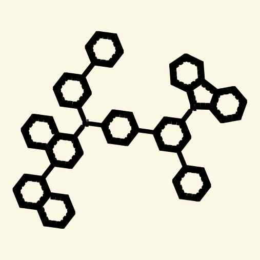 c1ccc(-c2cccc(N(c3ccc(-c4cc(-c5ccccc5)cc(-n5c6ccccc6c6ccccc65)c4)cc3)c3ccc(-c4cccc5ccccc45)c4ccccc34)c2)cc1